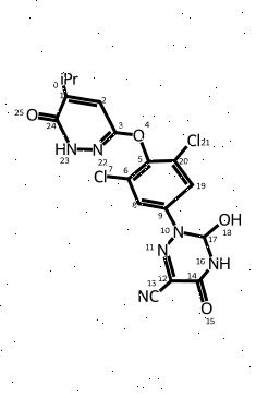 CC(C)c1cc(Oc2c(Cl)cc(N3N=C(C#N)C(=O)NC3O)cc2Cl)n[nH]c1=O